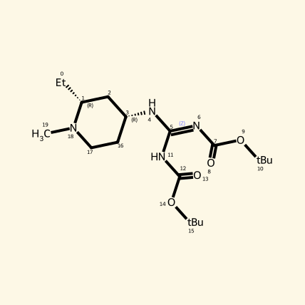 CC[C@@H]1C[C@H](N/C(=N/C(=O)OC(C)(C)C)NC(=O)OC(C)(C)C)CCN1C